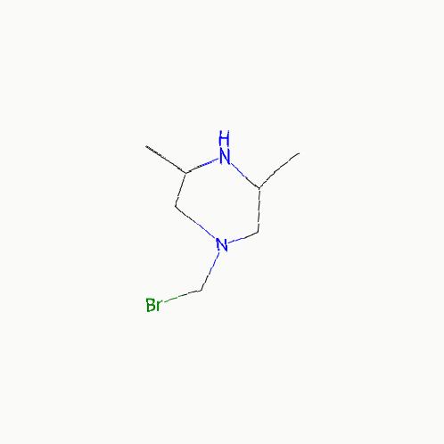 CC1CN(CBr)CC(C)N1